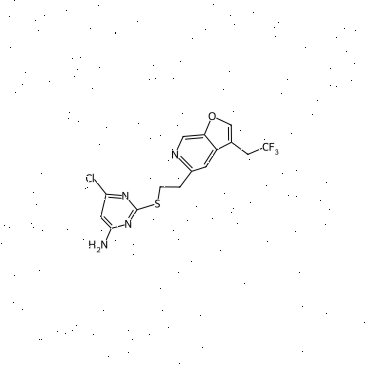 Nc1cc(Cl)nc(SCCc2cc3c(CC(F)(F)F)coc3cn2)n1